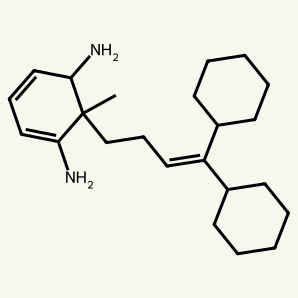 CC1(CCC=C(C2CCCCC2)C2CCCCC2)C(N)=CC=CC1N